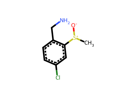 C[S+]([O-])c1cc(Cl)ccc1CN